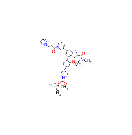 COc1cc(N2CCN(C(=O)OC(C)(C)C)CC2)ccc1-c1cc(C2=CCCN(C(=O)CCn3cccn3)C2)c(F)c2[nH]c(C(=O)N(C)C)cc12